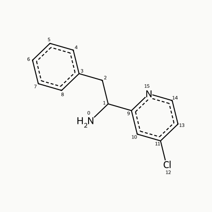 NC(Cc1ccccc1)c1cc(Cl)ccn1